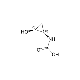 O=C(O)N[C@@H]1C[C@@H]1O